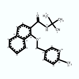 CC(C)(C#N)NC(=O)c1ccc2ccccc2c1OCc1ccc(C(F)(F)F)nc1